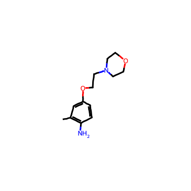 Cc1cc(OCCN2CCOCC2)ccc1N